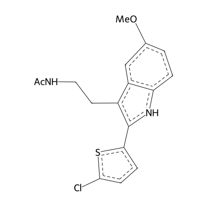 COc1ccc2[nH]c(-c3ccc(Cl)s3)c(CCNC(C)=O)c2c1